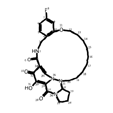 O=C1NCc2ccc(F)cc2OCCCCCCCCCN2C3CCCN3C(=O)c3c(O)c(=O)c1cn32